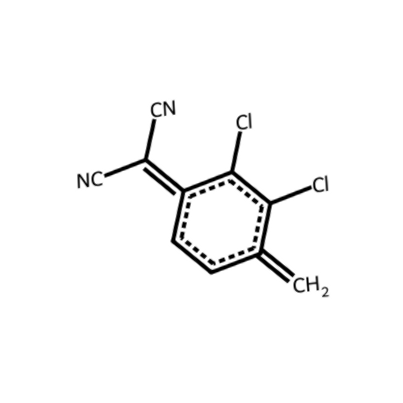 C=c1ccc(=C(C#N)C#N)c(Cl)c1Cl